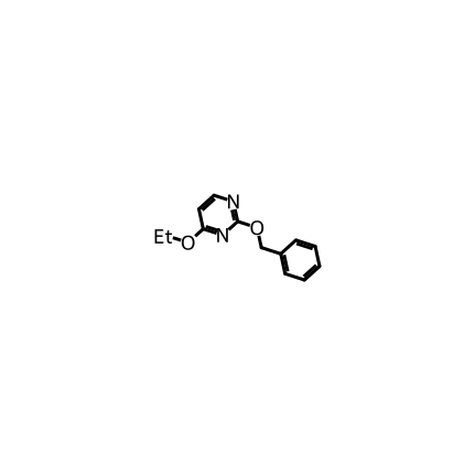 CCOc1ccnc(OCc2ccccc2)n1